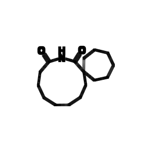 O=C1CCCCCCCC2(CCCCCC2)C(=O)N1